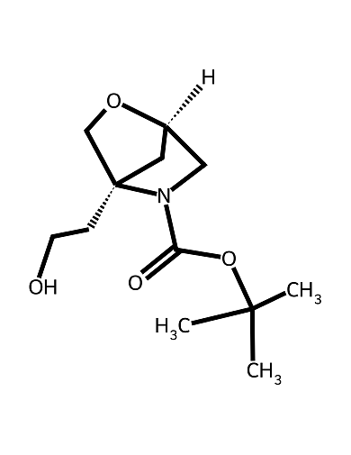 CC(C)(C)OC(=O)N1C[C@H]2C[C@]1(CCO)CO2